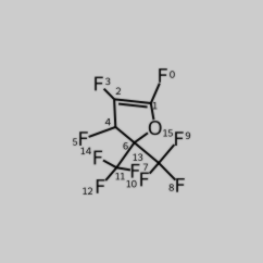 FC1=C(F)C(F)C(C(F)(F)F)(C(F)(F)F)O1